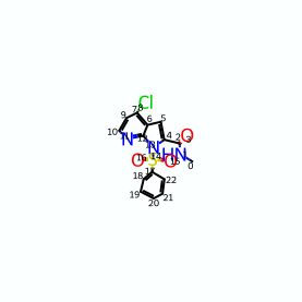 CNC(=O)c1cc2c(Cl)ccnc2n1S(=O)(=O)c1ccccc1